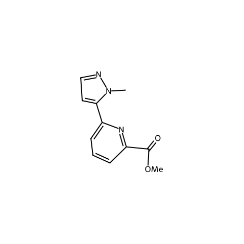 COC(=O)c1cccc(-c2ccnn2C)n1